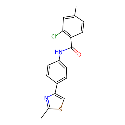 Cc1ccc(C(=O)Nc2ccc(-c3csc(C)n3)cc2)c(Cl)c1